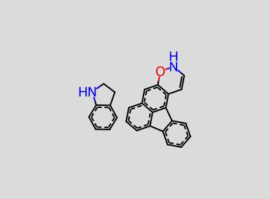 C1=Cc2c(cc3cccc4c3c2-c2ccccc2-4)ON1.c1ccc2c(c1)CCN2